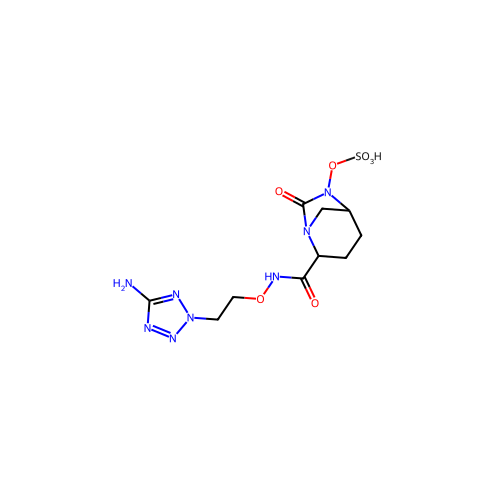 Nc1nnn(CCONC(=O)C2CCC3CN2C(=O)N3OS(=O)(=O)O)n1